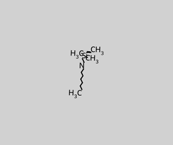 CC=C[Si](C)(C)CC=NCCCCCCCC